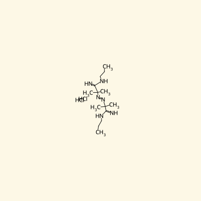 CCCNC(=N)C(C)(C)N=NC(C)(C)C(=N)NCCC.Cl.Cl